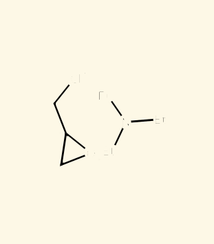 CCN(CC)CC.ClCC1CO1